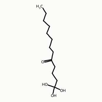 CCCCCCCCC(=O)CCCC(O)(O)O